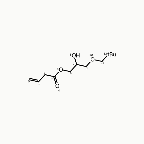 C=CCC(=O)OCC(O)COCC(C)(C)C